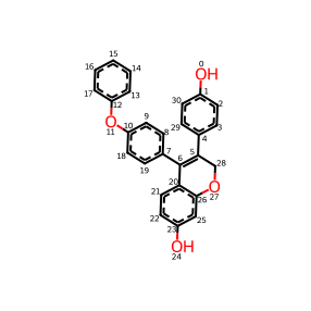 Oc1ccc(C2=C(c3ccc(Oc4ccccc4)cc3)c3ccc(O)cc3OC2)cc1